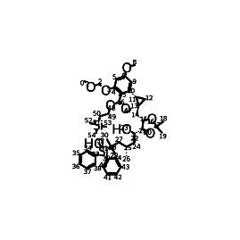 COCOc1cc(OC)cc([C@@H]2C[C@H]2C[C@@H]2OC(C)(C)O[C@@H]2C(O)C[C@H](C)CC(C)(C)[Si](O)(c2ccccc2)c2ccccc2)c1C(=O)OCC[Si](C)(C)C